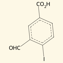 O=Cc1cc(C(=O)O)ccc1I